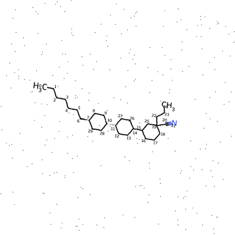 CCCCCCC[C@H]1CC[C@H](C2CCC(C3CCCC(C#N)(CCC)C3)CC2)CC1